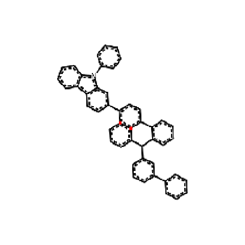 c1ccc(-c2cccc(C(c3ccccc3)c3ccccc3-c3ccc(-c4ccc5c6ccccc6n(-c6ccccc6)c5c4)cc3)c2)cc1